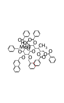 COC(C)C(OC(=O)c1ccccc1)C(OC1OC(COC(=O)c2ccccc2)C(OCc2ccccc2)C(OCc2ccc3ccccc3c2)C1OCc1ccccc1)C(C)[C@@H](COC(=O)c1ccccc1)OC(=O)c1ccccc1